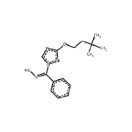 CC(C)(C)CCOc1ncn(C(=NO)c2ccccc2)n1